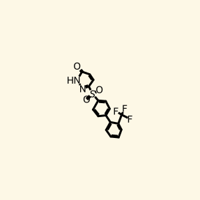 O=c1ccc(S(=O)(=O)c2ccc(-c3ccccc3C(F)(F)F)cc2)n[nH]1